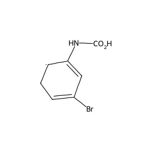 O=C(O)NC1=CC(Br)=CC[CH]1